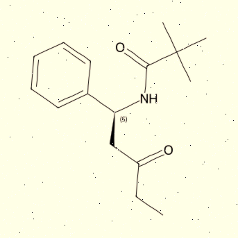 CCC(=O)C[C@H](NC(=O)C(C)(C)C)c1ccccc1